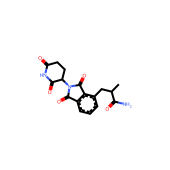 CC(Cc1cccc2c1C(=O)N(C1CCC(=O)NC1=O)C2=O)C(N)=O